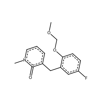 COCOc1ccc(F)cc1Cc1cccn(C)c1=O